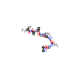 CN(CCN1CCC(OC(=O)Nc2ccccc2-c2ccccc2)CC1)C(=O)COCCCNc1ccc(C(=O)N(C)CCCN(C)C(=O)CO[C@H]2Cc3ccccc3C23CCN(CC[C@]2(c4ccc(F)cc4)CN(C(=O)c4cc(C(F)(F)F)cc(C(F)(F)F)c4)CO2)CC3)cc1